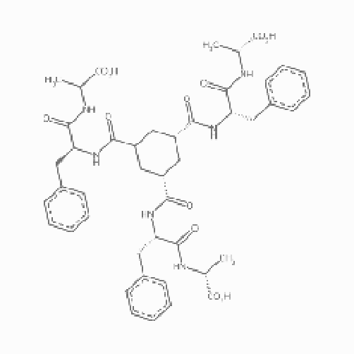 CC(NC(=O)[C@H](Cc1ccccc1)NC(=O)C1C[C@@H](C(=O)N[C@@H](Cc2ccccc2)C(=O)N[C@H](C)C(=O)O)C[C@@H](C(=O)N[C@@H](Cc2ccccc2)C(=O)N[C@H](C)C(=O)O)C1)C(=O)O